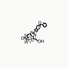 CN(CCO)c1cc(/C=C2/SC(=O)NC2=O)nc(N2CC3CN(C(=O)c4ccccc4)CC3C2)n1